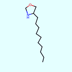 CCCCCCCCCCC1COCN1